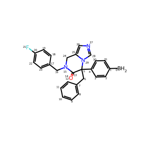 Bc1ccc(C2(Cc3ccccc3)C(=O)N(Cc3ccc(F)cc3)Cc3cncn32)cc1